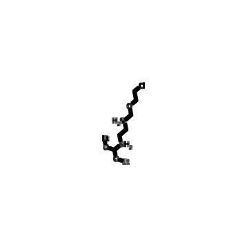 CCOC(OCC)[SiH2]CC[SiH2]COCCCl